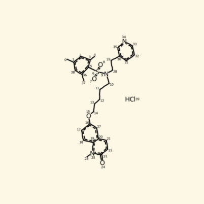 Cc1cc(C)c(S(=O)(=O)N(CCCCCOc2ccc3c(ccc(=O)n3C)c2)CCc2cccnc2)c(C)c1.Cl